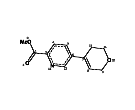 COC(=O)c1ccc(C2=CCOCC2)cn1